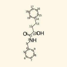 O=C(NCc1ccccc1)C(O)CCc1ccccc1